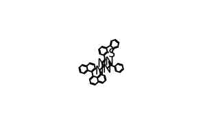 c1ccc(-c2nc(-c3cccc4c3sc3ccccc34)nc(N3c4ccc5ccccc5c4-c4cccc5cccc3c45)n2)cc1